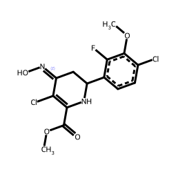 COC(=O)C1=C(Cl)/C(=N\O)CC(c2ccc(Cl)c(OC)c2F)N1